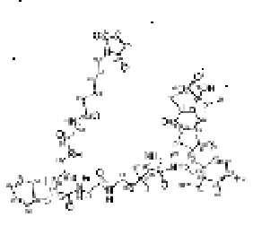 CC[C@@]1(O)C(=O)OCc2c1cc1n(c2=O)Cc2c-1nc1cc(F)c(C)c3c1c2[C@@H](N(C)C(=O)[C@@H](N)C(C)(C)SCNC(=O)CNC(=O)[C@H](Cc1ccccc1)NC(O)CNC(=O)CNC(=O)CCCCCN1C(=O)C=CC1=O)CC3